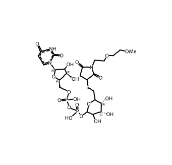 COCCOCCN1C(=O)CC(SCC2OC(OP(=O)(O)OP(=O)(O)OC[C@H]3O[C@@H](n4ccc(=O)[nH]c4=O)C(O)[C@H]3O)C(O)[C@@H](O)[C@H]2O)C1=O